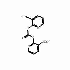 CCCCCCCCc1cccnc1OC(=O)Oc1ncccc1CCCCCCCC